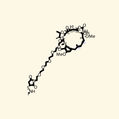 COc1cc2cc(c1Cl)N(C)C(=O)C[C@H](OC(C)[C@H](C)OCCOCCOCCOCCOCCOCCN1C(=O)CC(SNI)C1=O)[C@]1(C)O[C@H]1[C@H](C)[C@@H]1C[C@@](O)(NC(=O)O1)[C@H](OC)/C=C/C=C(\C)C2